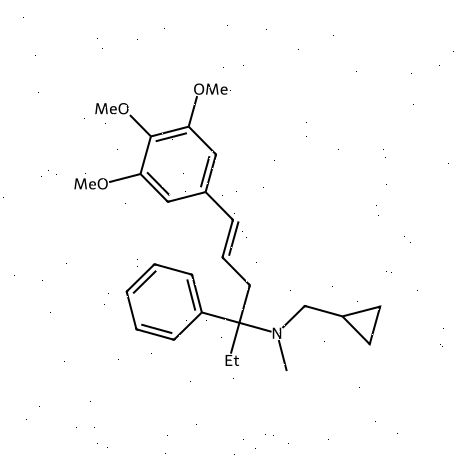 CCC(CC=Cc1cc(OC)c(OC)c(OC)c1)(c1ccccc1)N(C)CC1CC1